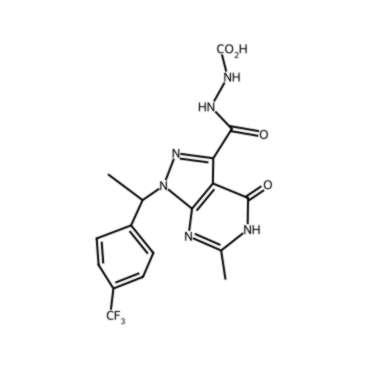 Cc1nc2c(c(C(=O)NNC(=O)O)nn2C(C)c2ccc(C(F)(F)F)cc2)c(=O)[nH]1